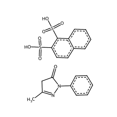 CC1=NN(c2ccccc2)C(=O)C1.O=S(=O)(O)c1ccc2ccccc2c1S(=O)(=O)O